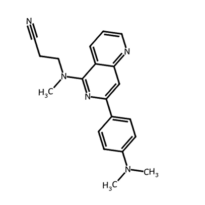 CN(C)c1ccc(-c2cc3ncccc3c(N(C)CCC#N)n2)cc1